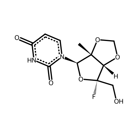 C[C@@]12OCO[C@@H]1[C@@](F)(CO)O[C@H]2n1ccc(=O)[nH]c1=O